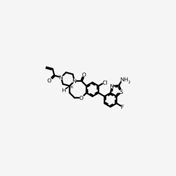 C=CC(=O)N1CCN2C(=O)c3cc(Cl)c(-c4ccc(F)c5sc(N)nc45)cc3OCC[C@@H]2C1